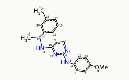 COc1ccc(Nc2nccc(NC(C)c3cccc(C)c3)n2)cc1